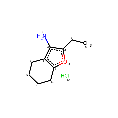 CCc1oc2c(c1N)CCCC2.Cl